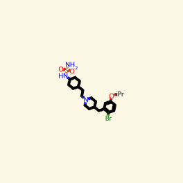 CC(C)Oc1ccc(Br)c(CC2CCN(CCC3CCC(NS(N)(=O)=O)CC3)CC2)c1